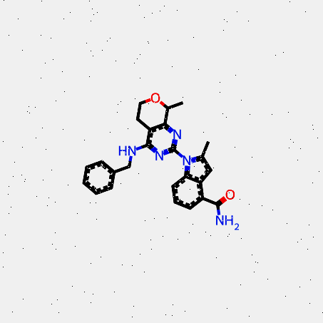 Cc1cc2c(C(N)=O)cccc2n1-c1nc(NCc2ccccc2)c2c(n1)C(C)OCC2